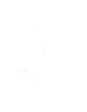 Cc1cnc(N)c(-c2nc3cnccc3o2)c1